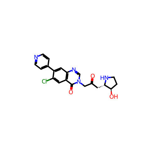 O=C(C[C@@H]1NCC[C@H]1O)Cn1cnc2cc(-c3ccncc3)c(Cl)cc2c1=O